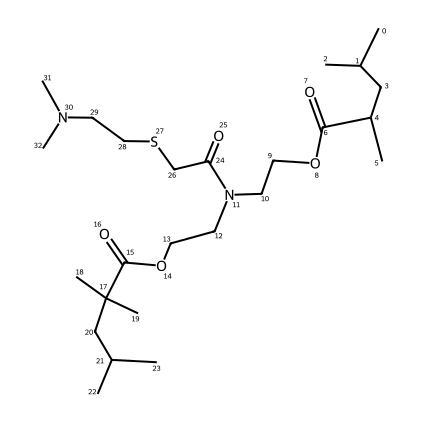 CC(C)CC(C)C(=O)OCCN(CCOC(=O)C(C)(C)CC(C)C)C(=O)CSCCN(C)C